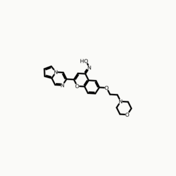 ON=c1cc(-c2cn3cccc3cn2)oc2ccc(OCCN3CCOCC3)cc12